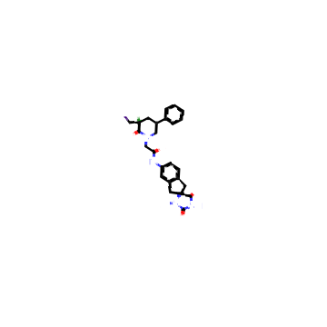 CN1C(=O)NC(=O)C12Cc1ccc(NC(=O)CN3CC(c4ccccc4)CC(Cl)(CI)C3=O)cc1C2